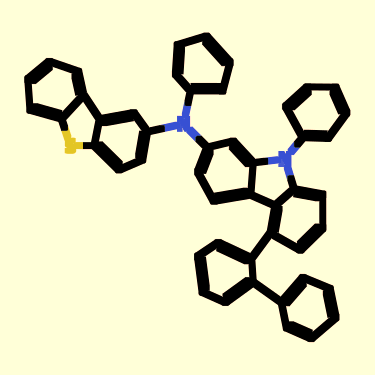 c1ccc(-c2ccccc2-c2cccc3c2c2ccc(N(c4ccccc4)c4ccc5sc6ccccc6c5c4)cc2n3-c2ccccc2)cc1